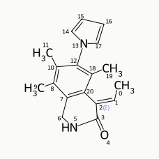 C/C=C1/C(=O)NCc2c(C)c(C)c(-n3cccc3)c(C)c21